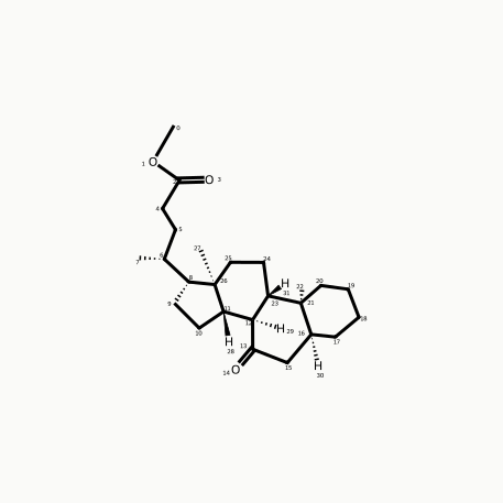 COC(=O)CC[C@@H](C)[C@H]1CC[C@H]2[C@@H]3C(=O)C[C@@H]4CCCC[C@]4(C)[C@H]3CC[C@]12C